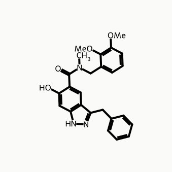 COc1cccc(CN(C)C(=O)c2cc3c(Cc4ccccc4)n[nH]c3cc2O)c1OC